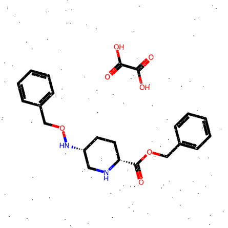 O=C(O)C(=O)O.O=C(OCc1ccccc1)[C@H]1CC[C@@H](NOCc2ccccc2)CN1